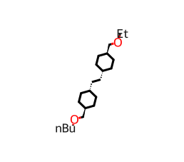 CCCCOC[C@H]1CC[C@H](CC[C@H]2CC[C@H](COCC)CC2)CC1